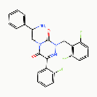 NC(Cn1c(=O)c(-c2ccccc2F)nn(Cc2c(F)cccc2F)c1=O)c1ccccc1